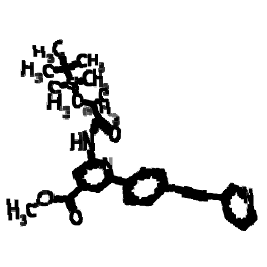 COC(=O)c1cc(NC(=O)[C@H](C)O[Si](C)(C)C(C)(C)C)nc(-c2ccc(C#Cc3cccnc3)cc2)c1